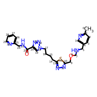 Cc1ccc(CNCOCc2nnc(CCCCn3cc(C(=O)NCc4ccccn4)nn3)s2)cn1